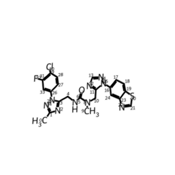 Cc1nc(CNC(=O)N(C)Cc2ncnn2-c2ccc3scnc3c2)n(-c2ccc(Cl)c(F)c2)n1